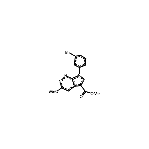 COC(=O)c1nn(-c2cccc(Br)c2)c2nnc(OC)cc12